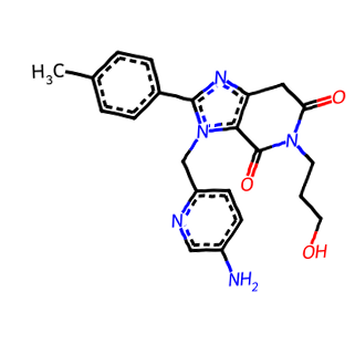 Cc1ccc(-c2nc3c(n2Cc2ccc(N)cn2)C(=O)N(CCCO)C(=O)C3)cc1